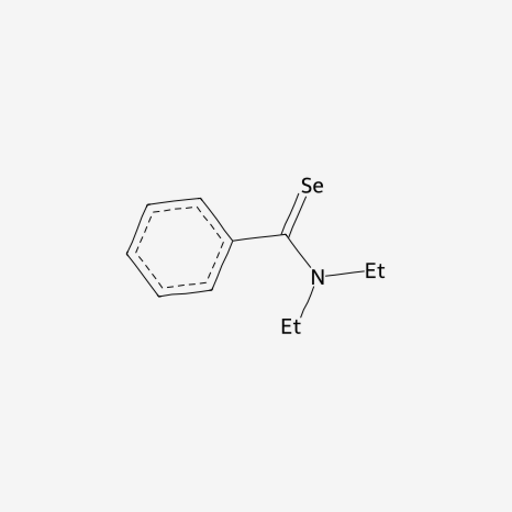 CCN(CC)C(=[Se])c1ccccc1